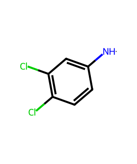 [NH]c1ccc(Cl)c(Cl)c1